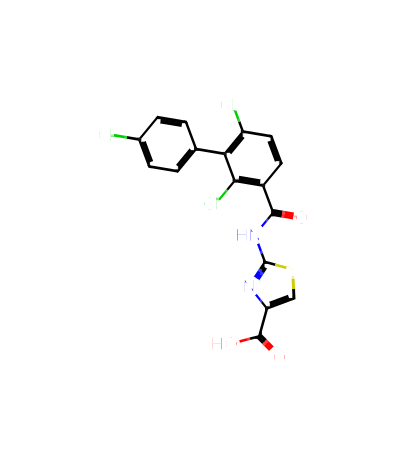 O=C(O)c1csc(NC(=O)c2ccc(Cl)c(-c3ccc(Cl)cc3)c2Cl)n1